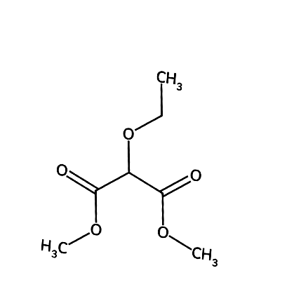 CCOC(C(=O)OC)C(=O)OC